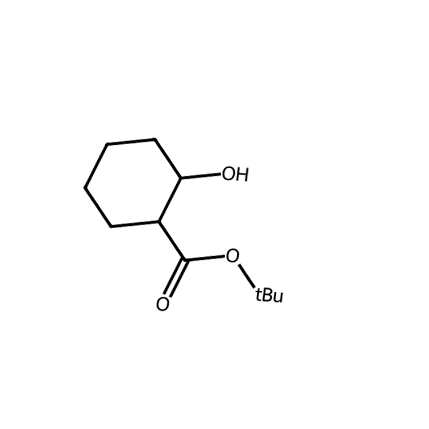 CC(C)(C)OC(=O)C1CCCCC1O